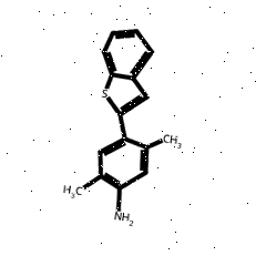 Cc1cc(-c2cc3ccccc3s2)c(C)cc1N